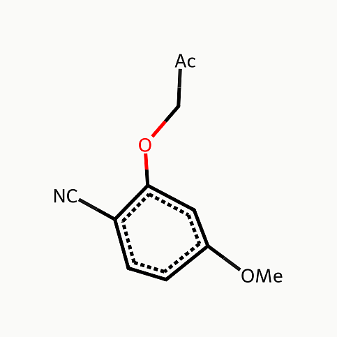 COc1ccc(C#N)c(OCC(C)=O)c1